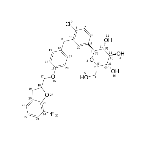 OC[C@@H]1O[C@@H](c2ccc(Cl)c(Cc3ccc(OCC4Cc5cccc(F)c5O4)cc3)c2)[C@H](O)[C@@H](O)[C@@H]1O